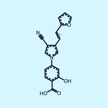 N#Cc1cn(-c2ccc(C(=O)O)c(O)c2)cc1/C=C/c1ccco1